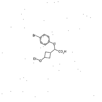 CCOC1CC(C(Oc2ccc(Br)cc2)C(=O)O)C1